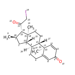 C[C@@H]1C[C@H]2[C@@H]3CCC4=CC(=O)C=C[C@]4(C)[C@H]3CC[C@]2(C)[C@H]1C(=O)CI